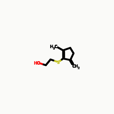 C=C1CCC(C)=C1SCCO